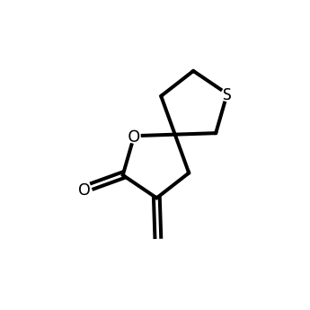 C=C1CC2(CCSC2)OC1=O